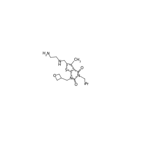 Cc1c(CNCCN)sc2c1c(=O)n(CC(C)C)c(=O)n2CC1COC1